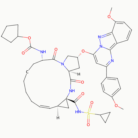 COc1ccc(-c2cc(O[C@@H]3C[C@H]4C(=O)N[C@]5(C(=O)NS(=O)(=O)C6CC6)C[C@H]5/C=C\CCCCC[C@H](NC(=O)OC5CCCC5)C(=O)N4C3)n3nc4c(OC)cccc4c3n2)cc1